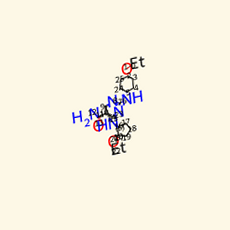 CCOC1CCC(Nc2ncc(C(N)=O)c(N[C@H]3CCC[C@@H]3OCC)n2)CC1